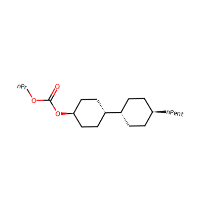 CCCCC[C@H]1CC[C@H]([C@H]2CC[C@H](OC(=O)OCCC)CC2)CC1